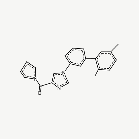 Cc1ccc(C)c(-c2cccc(-n3cnc(C(=O)n4cccc4)c3)c2)c1